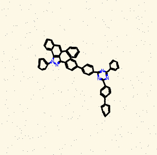 c1ccc(-c2ccc(-c3nc(-c4ccccc4)nc(-c4ccc(-c5ccc(-c6nn(-c7ccccc7)c7c6c(-c6ccccc6)cc6ccccc67)cc5)cc4)n3)cc2)cc1